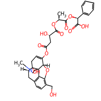 C[C@H](OC(=O)[C@@H](O)CC(=O)OC1=CC[C@@]2(O)[C@H]3Cc4ccc(CO)c5c4[C@@]2(CCN3C)[C@H]1O5)C(=O)O[C@H](C(=O)O)c1ccccc1